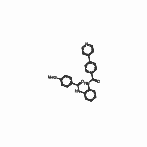 COc1ccc(C(=O)Nc2ccccc2NC(=O)c2ccc(-c3ccncc3)cc2)cc1